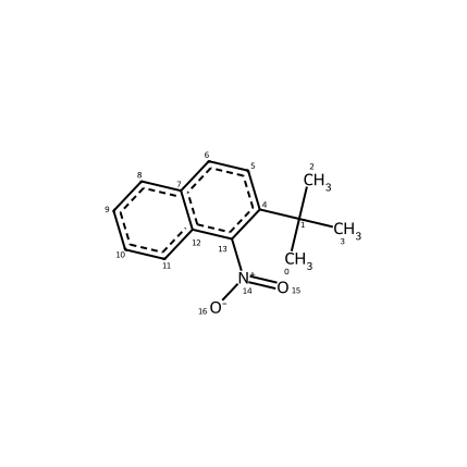 CC(C)(C)c1ccc2ccccc2c1[N+](=O)[O-]